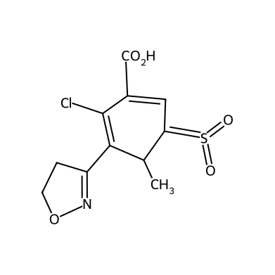 CC1C(C2=NOCC2)=C(Cl)C(C(=O)O)=CC1=S(=O)=O